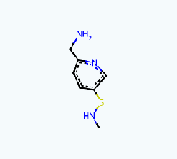 CNSc1ccc(CN)nc1